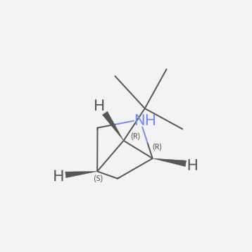 CC(C)(C)[C@H]1[C@H]2CN[C@@H]1C2